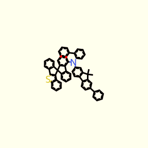 CC1(C)c2cc(-c3ccccc3)ccc2-c2ccc(N(c3ccccc3-c3ccccc3)c3cccc4c3-c3ccccc3C43c4ccccc4-c4sc5ccccc5c43)cc21